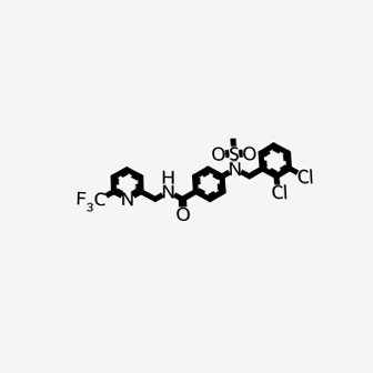 CS(=O)(=O)N(Cc1cccc(Cl)c1Cl)c1ccc(C(=O)NCc2cccc(C(F)(F)F)n2)cc1